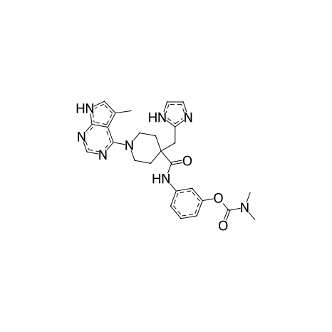 Cc1c[nH]c2ncnc(N3CCC(Cc4ncc[nH]4)(C(=O)Nc4cccc(OC(=O)N(C)C)c4)CC3)c12